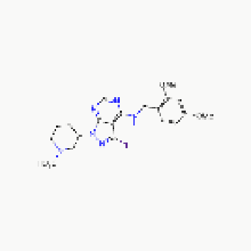 COc1ccc(CNc2ncnc3c2c(I)nn3C2CCCN(C(=O)O)C2)c(OC)c1